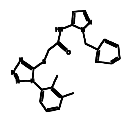 Cc1cccc(-n2nnnc2SCC(=O)Nc2ccnn2Cc2ccccc2)c1C